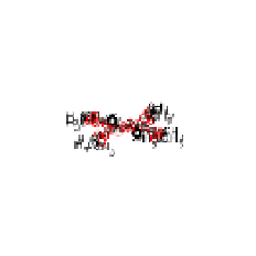 CC(C)(C)OC(=O)OCOc1cccc(C(=O)OOC(=O)c2cccc(OCOC(=O)OC(C)(C)C)c2OCOC(=O)OC(C)(C)C)c1OCOC(=O)OC(C)(C)C